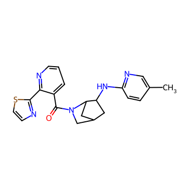 Cc1ccc(NC2CC3CC2N(C(=O)c2cccnc2-c2nccs2)C3)nc1